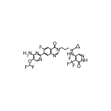 Nc1nc(-c2cc3ncn(CCC[C@@H](Nc4cn[nH]c(=O)c4C(F)(F)F)C4CC4)c(=O)c3cc2F)ncc1OC(F)F